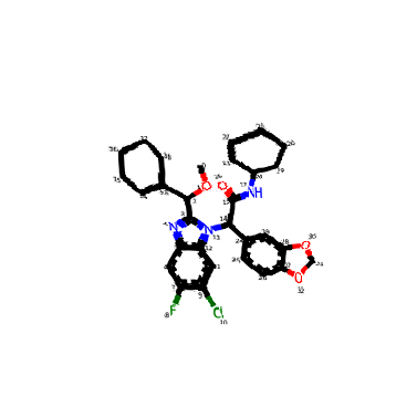 COC(c1nc2cc(F)c(Cl)cc2n1C(C(=O)NC1CCCCC1)c1ccc2c(c1)OCO2)C1CCCCC1